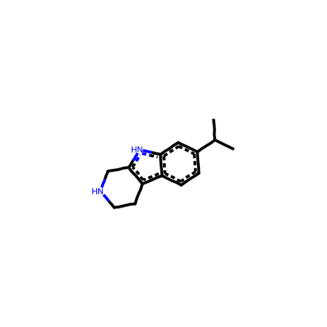 CC(C)c1ccc2c3c([nH]c2c1)CNCC3